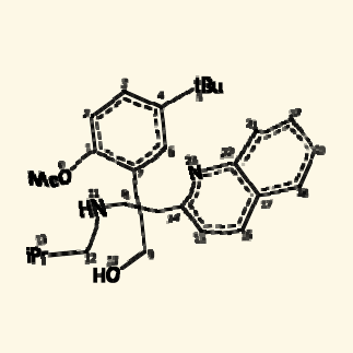 COc1ccc(C(C)(C)C)cc1C(CO)(NCC(C)C)c1ccc2ccccc2n1